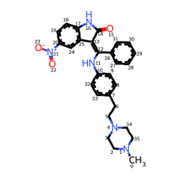 CN1CCN(CCc2ccc(NC(=C3C(=O)Nc4ccc([N+](=O)[O-])cc43)c3ccccc3)cc2)CC1